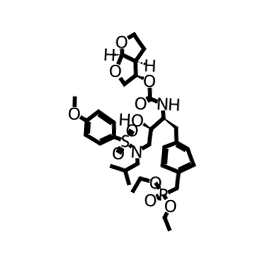 CCOP(=O)(Cc1ccc(C[C@H](NC(=O)O[C@H]2CO[C@H]3OCC[C@H]32)[C@H](O)CN(CC(C)C)S(=O)(=O)c2ccc(OC)cc2)cc1)OCC